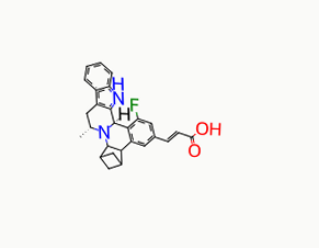 C[C@@H]1Cc2c([nH]c3ccccc23)[C@H]2c3c(F)cc(/C=C/C(=O)O)cc3C3C4CC(C4)C3N21